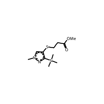 COC(=O)CCSc1cn(C)nc1[Si](C)(C)C